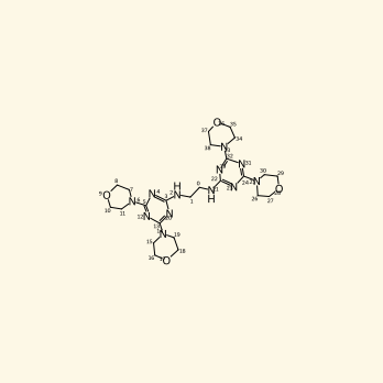 C(CNc1nc(N2CCOCC2)nc(N2CCOCC2)n1)Nc1nc(N2CCOCC2)nc(N2CCOCC2)n1